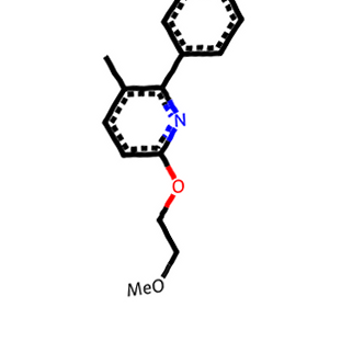 COCCOc1ccc(C)c(-c2ccccc2)n1